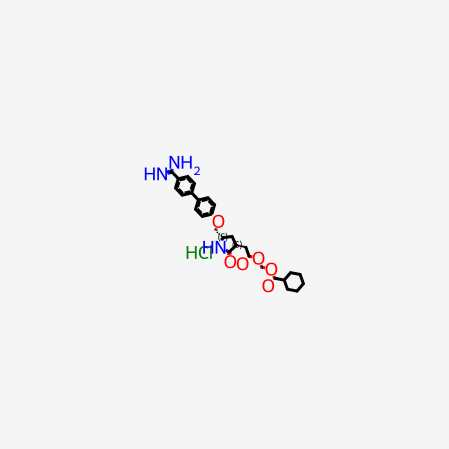 Cl.N=C(N)c1ccc(-c2ccc(OC[C@@H]3C[C@@H](CC(=O)OCOC(=O)C4CCCCC4)C(=O)N3)cc2)cc1